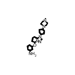 CN1CCN(c2ccc(N3C=NN4C3=CC=CC4Oc3cccc(N)c3)cc2)CC1